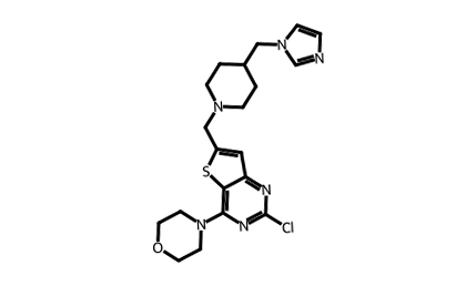 Clc1nc(N2CCOCC2)c2sc(CN3CCC(Cn4ccnc4)CC3)cc2n1